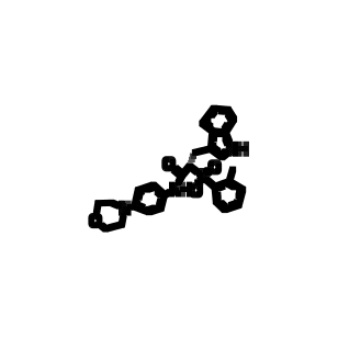 Cc1ccccc1S(=O)(=O)[C@@H](Cc1c[nH]c2ccccc12)C(=O)Nc1ccc(N2CCOCC2)cc1